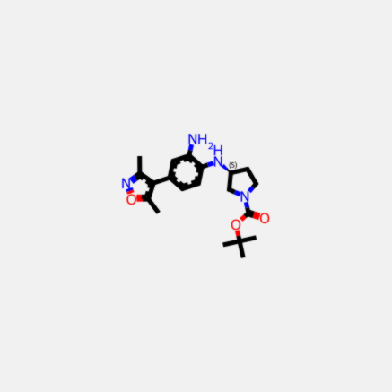 Cc1noc(C)c1-c1ccc(N[C@H]2CCN(C(=O)OC(C)(C)C)C2)c(N)c1